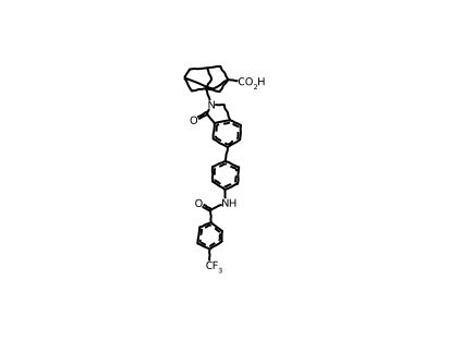 O=C(Nc1ccc(-c2ccc3c(c2)C(=O)N(C24CC5CC(CC(C(=O)O)(C5)C2)C4)C3)cc1)c1ccc(C(F)(F)F)cc1